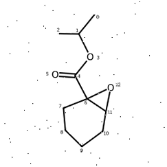 CC(C)OC(=O)C12CCCCC1O2